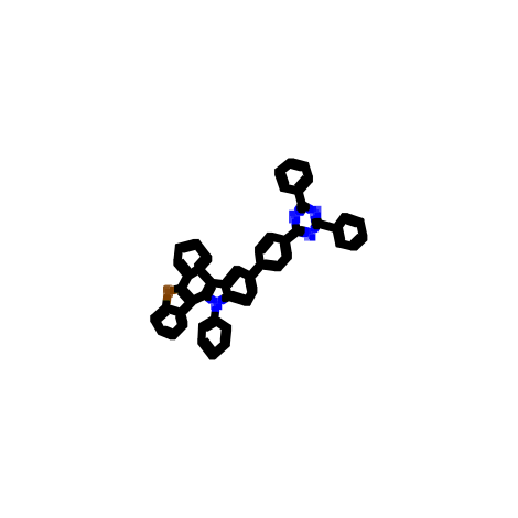 c1ccc(-c2nc(-c3ccccc3)nc(-c3ccc(-c4ccc5c(c4)c4c6ccccc6c6sc7ccccc7c6c4n5-c4ccccc4)cc3)n2)cc1